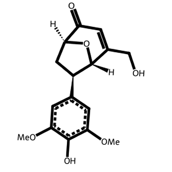 COc1cc([C@H]2C[C@@H]3O[C@@H]2C(CO)=CC3=O)cc(OC)c1O